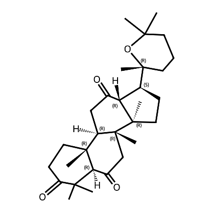 CC1(C)CCC[C@](C)([C@H]2CC[C@]3(C)[C@@H]2C(=O)C[C@@H]2[C@@]4(C)CCC(=O)C(C)(C)[C@@H]4C(=O)C[C@]23C)O1